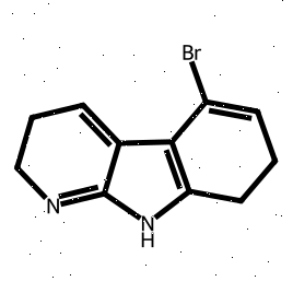 BrC1=CCCc2[nH]c3c(c21)=CCCN=3